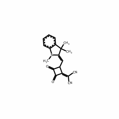 CN1C(=CC2C(=O)C(=O)C2=C(C#N)C#N)C(C)(C)c2ccccc21